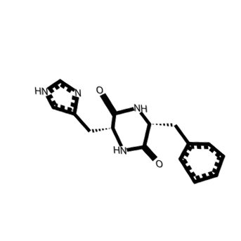 O=C1N[C@H](Cc2c[nH]cn2)C(=O)N[C@@H]1Cc1ccccc1